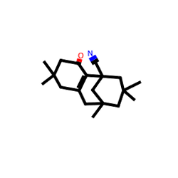 CC1(C)CC(=O)C2=C(C1)CC1(C)CC(C)(C)CC2(C#N)C1